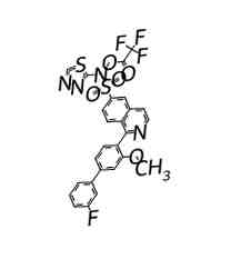 COc1cc(-c2cccc(F)c2)ccc1-c1nccc2cc(S(=O)(=O)N(OC(=O)C(F)(F)F)c3nncs3)ccc12